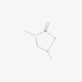 CN1CC(Br)[CH]C1=O